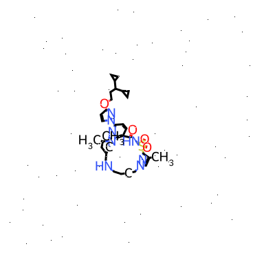 Cc1cn2nc1S(=O)(=O)NC(=O)c1ccc(-n3ccc(OCCC(C4CC4)C4CC4)n3)nc1N1CC(CNCCCC2)CC1(C)C